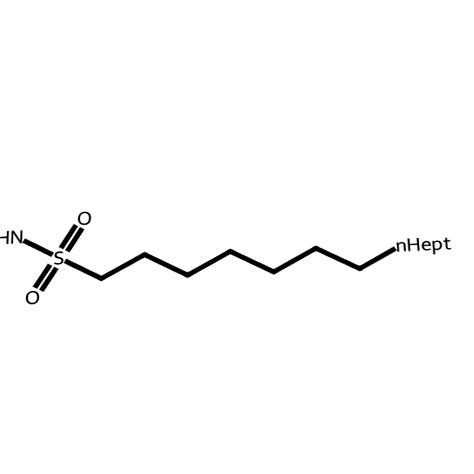 CCCCCCCCCCCCCCS([NH])(=O)=O